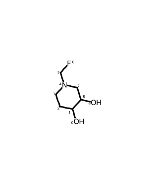 OC1CCN(CF)CC1O